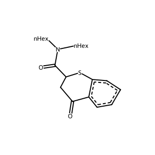 CCCCCCN(CCCCCC)C(=O)C1CC(=O)c2ccccc2S1